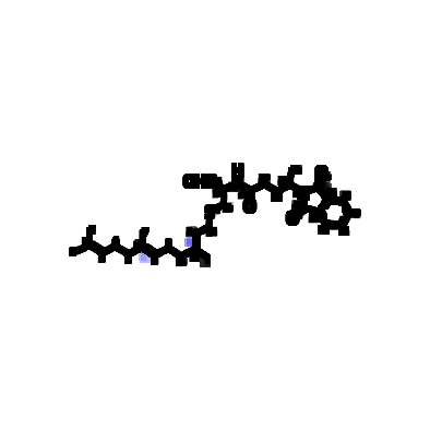 CC(C)=CCC/C(C)=C/CC/C(C)=C/CSCC(C=O)NC(=O)CCC(C)N1C(=O)c2ccccc2C1=O